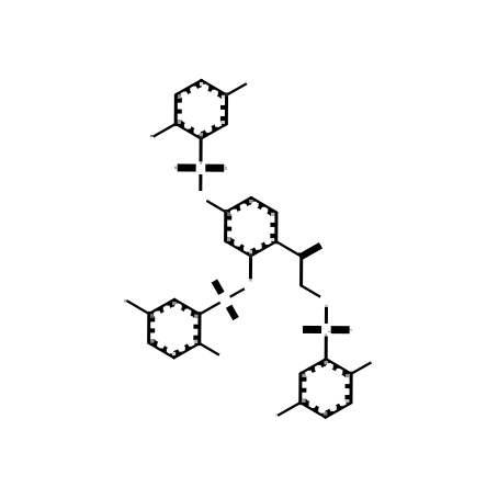 O=C(COS(=O)(=O)c1cc(Cl)ccc1Cl)c1ccc(OS(=O)(=O)c2cc(Cl)ccc2Cl)cc1OS(=O)(=O)c1cc(Cl)ccc1Cl